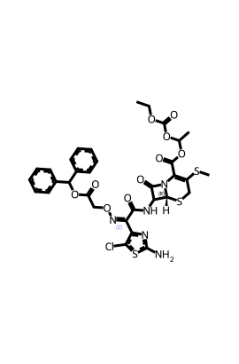 CCOC(=O)OC(C)OC(=O)C1=C(SC)CS[C@@H]2C(NC(=O)/C(=N\OCC(=O)OC(c3ccccc3)c3ccccc3)c3nc(N)sc3Cl)C(=O)N12